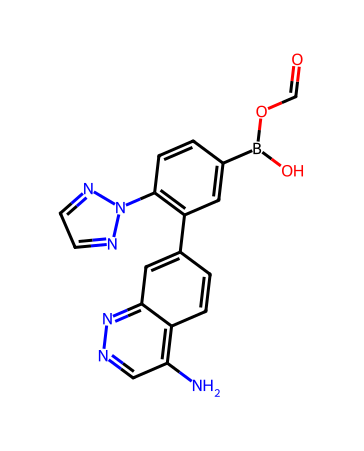 Nc1cnnc2cc(-c3cc(B(O)OC=O)ccc3-n3nccn3)ccc12